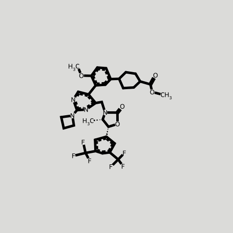 COC(=O)C1CCC(c2ccc(OC)c(-c3cnc(N4CCC4)nc3CN3C(=O)O[C@H](c4cc(C(F)(F)F)cc(C(F)(F)F)c4)[C@@H]3C)c2)CC1